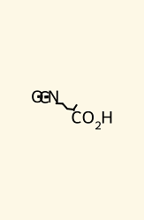 CC(CCCN=C=O)C(=O)O